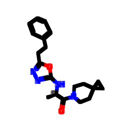 C[C@@H](Nc1nnc(CCc2ccccc2)o1)C(=O)N1CCC2(CC1)CC2